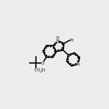 CCOC(=O)C(C)(C)Oc1ccc2[nH]c(C(C)C)c(-c3ccncc3)c2c1